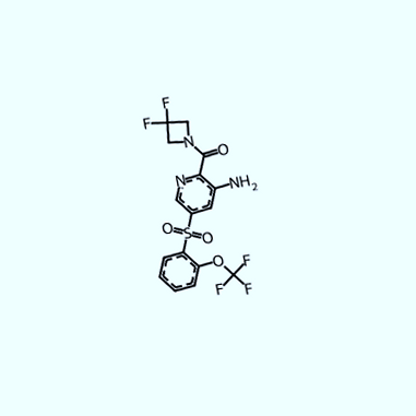 Nc1cc(S(=O)(=O)c2ccccc2OC(F)(F)F)cnc1C(=O)N1CC(F)(F)C1